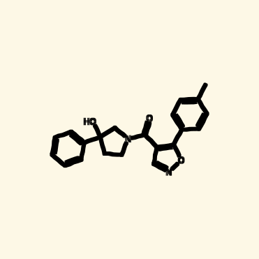 Cc1ccc(-c2oncc2C(=O)N2CCC(O)(c3ccccc3)C2)cc1